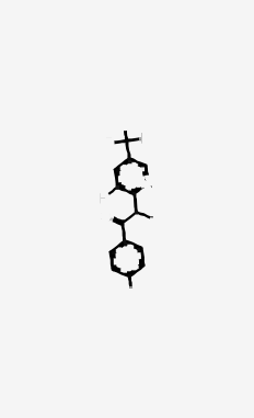 O=C(c1ccc(F)cc1)C(I)c1ncc(C(F)(F)F)cc1F